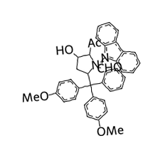 COc1ccc(C(c2ccccc2)(c2ccc(OC)cc2)C2CC(O)C(C(C)=O)[N+]2(C=O)n2c3ccccc3c3ccccc32)cc1